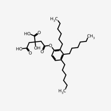 CCCCCCc1ccc(OC(=O)CC(O)(CC(=O)O)C(=O)O)c(CCCCCC)c1CCCCCC